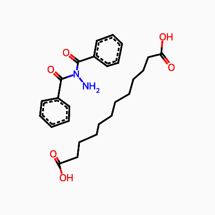 NN(C(=O)c1ccccc1)C(=O)c1ccccc1.O=C(O)CCCCCCCCCCC(=O)O